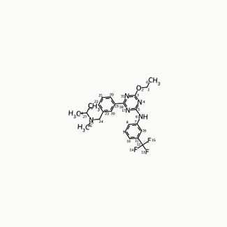 CCOc1nc(Nc2cccc(C(F)(F)F)c2)nc(-c2cccc(CN(C)C(C)C)c2)n1